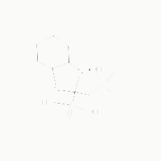 O=P(O)(O)CC1(P(=O)(O)O)NC2CCCCC2N1